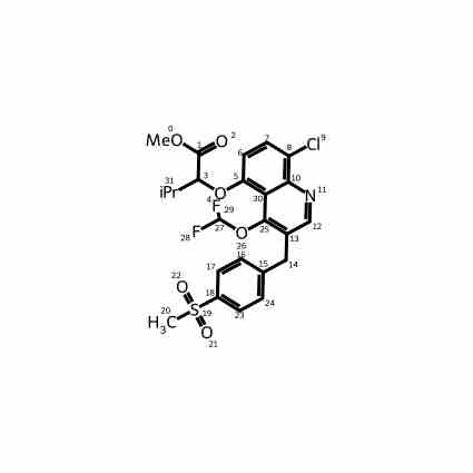 COC(=O)C(Oc1ccc(Cl)c2ncc(Cc3ccc(S(C)(=O)=O)cc3)c(OC(F)F)c12)C(C)C